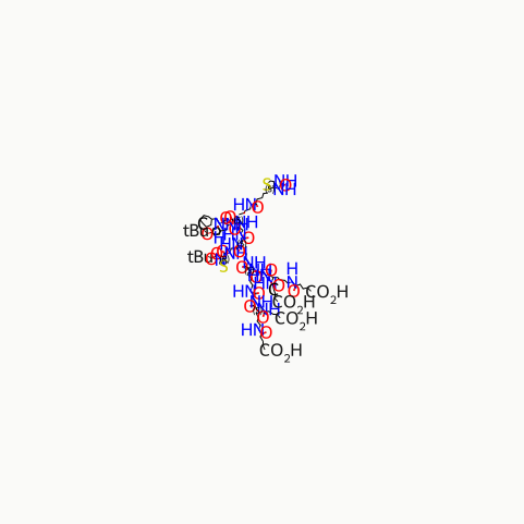 CC(C)(C)OC(=O)N1CSC[C@H]1C(=O)NCC(=O)N[C@@H](CCCCNC(=O)[C@H](CCCCNC(=O)CNC(=O)[C@H](CCCCNC(=O)CCCC(=O)O)NC(=O)CCCC(=O)O)NC(=O)CNC(=O)C(CCCCNC(=O)CCCC(=O)O)NC(=O)CCCC(=O)O)C(=O)NCC(=O)N[C@@H](CCCCNC(=O)CCCC[C@@H]1SCC2NC(=O)NC21)C(=O)NC(Cc1ccc(OC(C)(C)C)cc1)C(=O)NCC1CCCCCC1